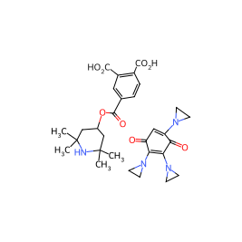 CC1(C)CC(OC(=O)c2ccc(C(=O)O)c(C(=O)O)c2)CC(C)(C)N1.O=C1C=C(N2CC2)C(=O)C(N2CC2)=C1N1CC1